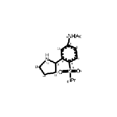 CC(=O)Nc1ccc(S(=O)(=O)C(C)C)c(C2CCCN2)c1